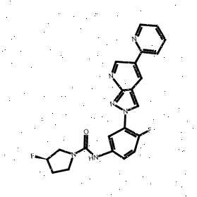 O=C(Nc1ccc(F)c(-n2cc3cc(-c4ccccn4)cnc3n2)c1)N1CC[C@@H](F)C1